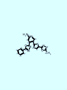 Cc1nnc(-c2cnc(-c3cnc(N)cc3-c3nnc(-c4ccccc4)o3)s2)o1